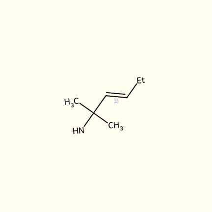 CC/C=C/C(C)(C)[NH]